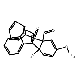 COC1=CC(C=O)(S(=O)(=O)c2ccccc2)C(N)(c2c[nH]c3ccccc23)C=C1